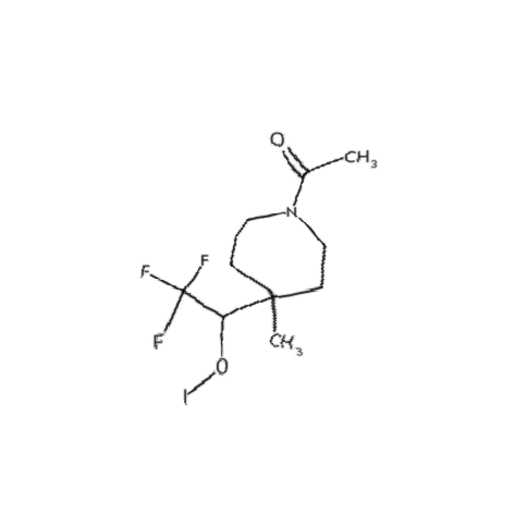 CC(=O)N1CCC(C)(C(OI)C(F)(F)F)CC1